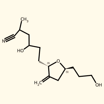 C=C1C[C@H](CCCO)O[C@H]1CCC(O)CC(C)C#N